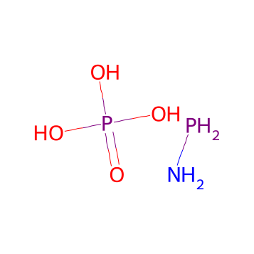 NP.O=P(O)(O)O